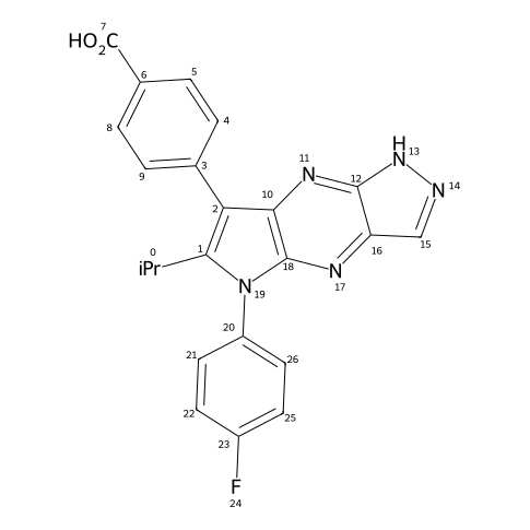 CC(C)c1c(-c2ccc(C(=O)O)cc2)c2nc3[nH]ncc3nc2n1-c1ccc(F)cc1